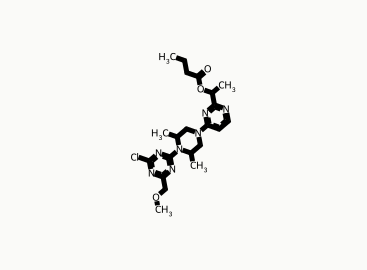 CCCC(=O)OC(C)c1nccc(N2CC(C)N(c3nc(Cl)nc(COC)n3)C(C)C2)n1